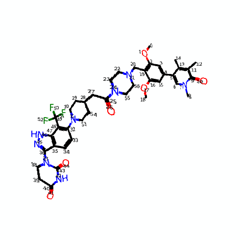 COc1cc(-c2cn(C)c(=O)c(C)c2C)cc(OC)c1CN1CCN(C(=O)CC2CCN(c3ccc4c(N5CCC(=O)NC5=O)n[nH]c4c3C(F)(F)F)CC2)CC1